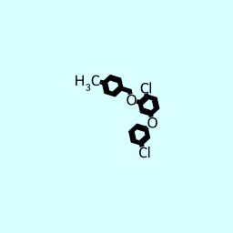 Cc1ccc(COc2cc(Oc3cccc(Cl)c3)ccc2Cl)cc1